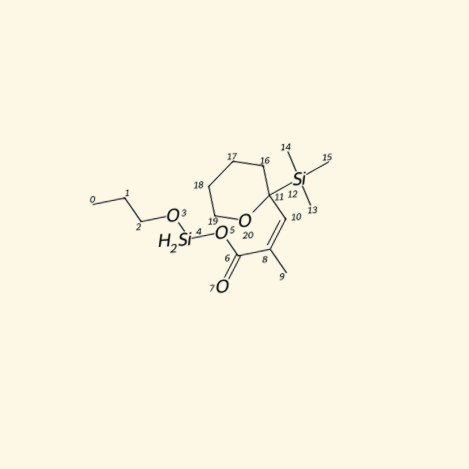 CCCO[SiH2]OC(=O)C(C)=CC1([Si](C)(C)C)CCCCO1